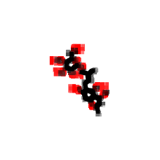 C/C(=C/Cc1c(O)cc2oc(C)cc(=O)c2c1O)CO[C@@H]1O[C@H](CO)[C@@H](O)[C@H](O)[C@H]1O